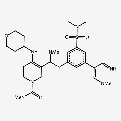 CN/C=C(\C=N)c1cc(NC(NC)C2=C(NC3CCOCC3)CCN(C(=O)NC)C2)cc(S(=O)(=O)N(C)C)c1